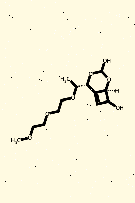 COCCOCCOC(C)[C@@H]1OC(O)O[C@@H]2C1=CC2O